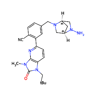 Cn1c(=O)n(CC(C)(C)C)c2ccc(-c3cc(CN4C[C@H]5C[C@@H]4CN5N)ccc3C#N)nc21